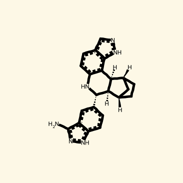 Nc1n[nH]c2ccc([C@@H]3Nc4ccc5cn[nH]c5c4[C@H]4[C@@H]5CC[C@@H](C5)[C@H]43)cc12